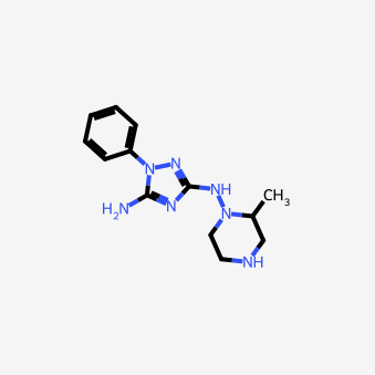 CC1CNCCN1Nc1nc(N)n(-c2ccccc2)n1